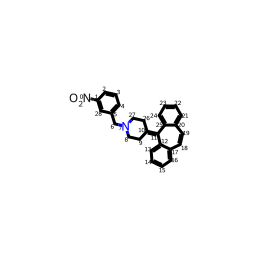 O=[N+]([O-])c1cccc(CN2CCC(=C3c4ccccc4C=Cc4ccccc43)CC2)c1